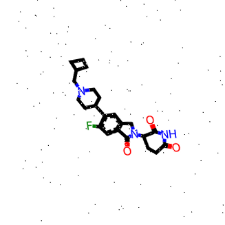 O=C1CCC(N2Cc3cc(C4CCN(CC5CCC5)CC4)c(F)cc3C2=O)C(=O)N1